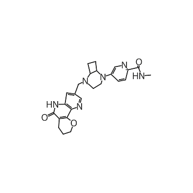 CNC(=O)c1ccc(N2CCN(Cc3cnc4c5c(c(=O)[nH]c4c3)CCCO5)C3CCC32)cn1